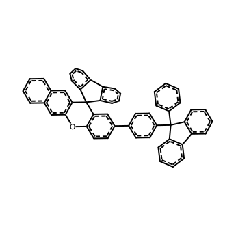 c1ccc(C2(c3ccc(-c4ccc5c(c4)C4(c6cc7ccccc7cc6O5)c5ccccc5-c5ccccc54)cc3)c3ccccc3-c3ccccc32)cc1